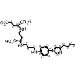 O=C(O)CC[C@H](NCC[C@@H](NCCCNc1ccc(-n2cc(CCCF)nn2)cc1)C(=O)O)C(=O)O